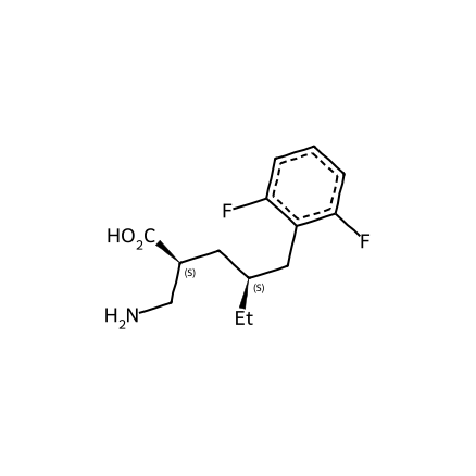 CC[C@H](Cc1c(F)cccc1F)C[C@@H](CN)C(=O)O